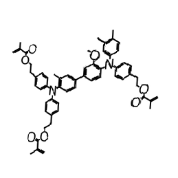 C=C(C)C(=O)OCCc1ccc(N(c2ccc(CCOC(=O)C(=C)C)cc2)c2ccc(-c3ccc(N(c4ccc(CCOC(=O)C(=C)C)cc4)c4ccc(C)c(C)c4)c(OC)c3)cc2C)cc1